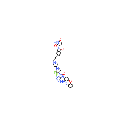 Nc1ncnc2c1n(-c1ccc(Oc3ccccc3)cc1)c(=O)n2[C@@H]1CCN(C2CCN(CC#Cc3ccc4c(c3)CN(C3CCC(=O)NC3=O)C4=O)CC2)CC1(F)F